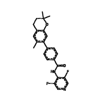 Cc1cc2c(cc1-c1ccc(C(=O)Nc3c(F)cncc3F)cc1)OC(C)(C)CC2